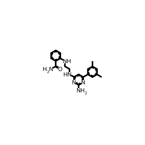 Cc1cc(C)cc(-c2cc(NCCNc3ccccc3C(N)=O)nc(N)n2)c1